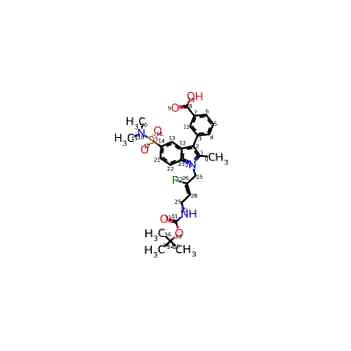 Cc1c(-c2cccc(C(=O)O)c2)c2cc(S(=O)(=O)N(C)C)ccc2n1CC(F)=CCNC(=O)OC(C)(C)C